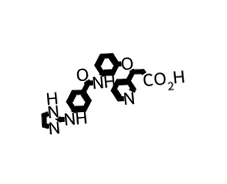 O=C(O)CC(Oc1cccc(NC(=O)c2ccc(NC3=NCCN3)cc2)c1)c1cccnc1